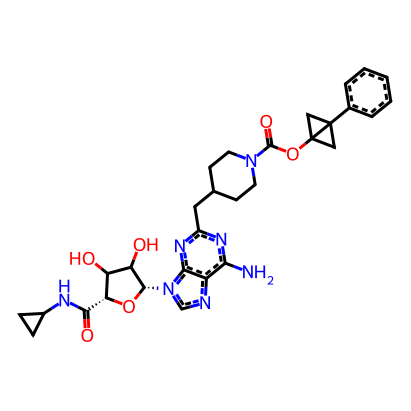 Nc1nc(CC2CCN(C(=O)OC34CC3(c3ccccc3)C4)CC2)nc2c1ncn2[C@@H]1O[C@H](C(=O)NC2CC2)C(O)C1O